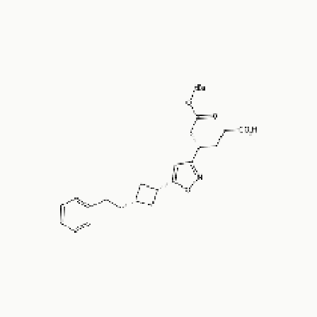 CC(C)(C)OC(=O)C[C@H](CCC(=O)O)c1cc([C@H]2C[C@@H](CCc3ccccc3)C2)on1